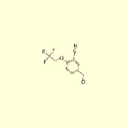 N#Cc1cc(CCl)ccc1OCC(F)(F)F